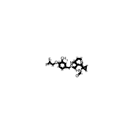 Cc1cc(Cn2cc3c(C4(NC=O)CC4)nccc3n2)ccc1OCC(F)F